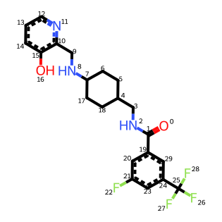 O=C(NCC1CCC(NCc2ncccc2O)CC1)c1cc(F)cc(C(F)(F)F)c1